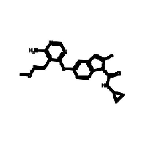 CO/N=C/c1c(N)ncnc1Oc1ccc2c(c1)cc(C)n2C(=O)NC1CC1